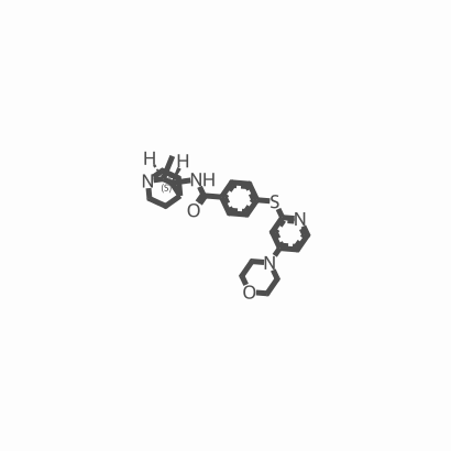 C[C@H]1[C@H](NC(=O)c2ccc(Sc3cc(N4CCOCC4)ccn3)cc2)C2CCN1CC2